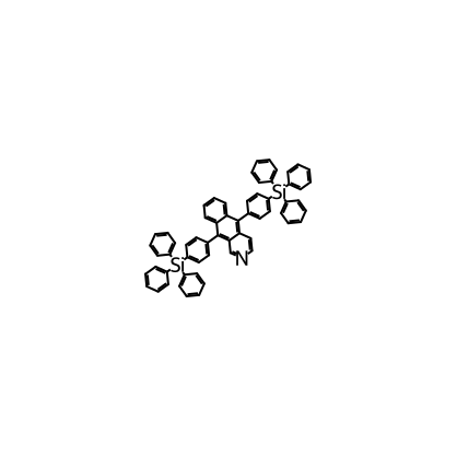 c1ccc([Si](c2ccccc2)(c2ccccc2)c2ccc(-c3c4ccccc4c(-c4ccc([Si](c5ccccc5)(c5ccccc5)c5ccccc5)cc4)c4cnccc34)cc2)cc1